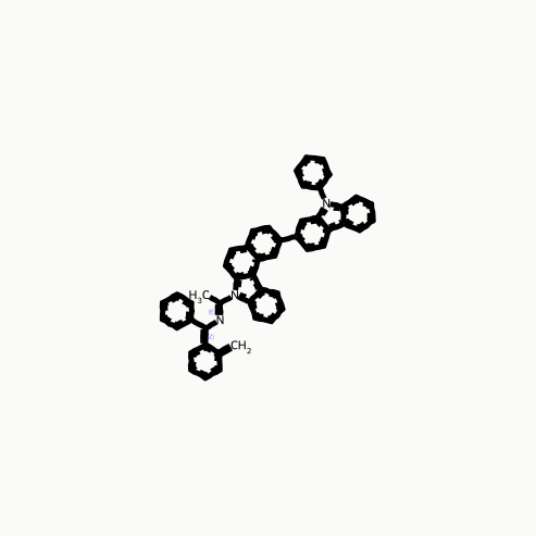 C=c1cccc/c1=C(/N=C(\C)n1c2ccccc2c2c3cc(-c4ccc5c6ccccc6n(-c6ccccc6)c5c4)ccc3ccc21)c1ccccc1